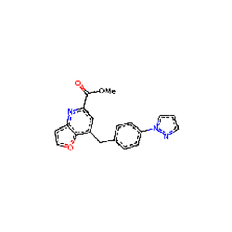 COC(=O)c1cc(Cc2ccc(-n3cccn3)cc2)c2occc2n1